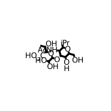 CC(=O)NC1C(C(C)C)OC(CO)C(O)C1OC(OC(C(=O)O)C(C)O)C(O)O